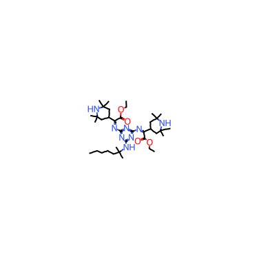 CCCCCC(C)(C)Nc1nc(N=C(C(=O)OCC)C2CC(C)(C)NC(C)(C)C2)nc(N=C(C(=O)OCC)C2CC(C)(C)NC(C)(C)C2)n1